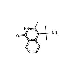 Cc1[nH]c(=O)c2ccccc2c1C(C)(C)N